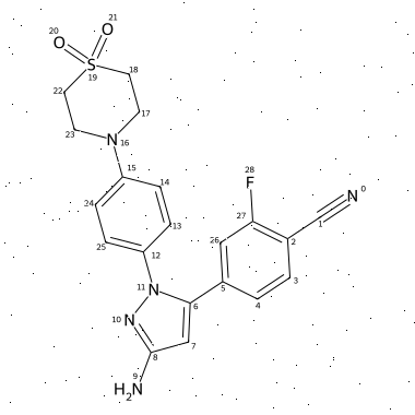 N#Cc1ccc(-c2cc(N)nn2-c2ccc(N3CCS(=O)(=O)CC3)cc2)cc1F